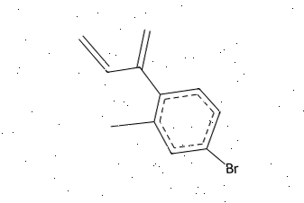 C=CC(=C)c1ccc(Br)cc1C